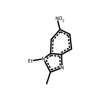 CCn1c(C)nc2ccc([N+](=O)[O-])cc21